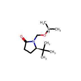 C[SiH](C)OCN1C(=O)CC[C@@H]1C(C)(C)C